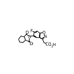 O=C(O)Cc1noc2cc(F)c(N3C(=O)C4CCCCC4C3=O)cc12